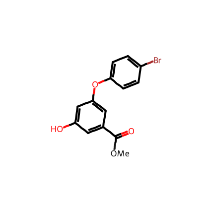 COC(=O)c1cc(O)cc(Oc2ccc(Br)cc2)c1